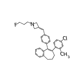 Cc1cc(Cl)ccc1C1=C(c2ccc(C=C3CN(CCCF)C3)cc2)c2ccccc2CCC1